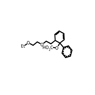 CCOCCOCCC1C=CC=CC1(OC(=O)O)c1ccccc1